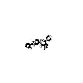 Cn1ncc(C(=O)N2CCOCC2)c1C(=O)Nc1ccn2nc(-c3cccnc3F)nc2c1